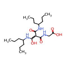 CCCC(CCC)NC(=O)/C(C(=O)NCC(=O)O)=C(/O)NC(CCC)CCC